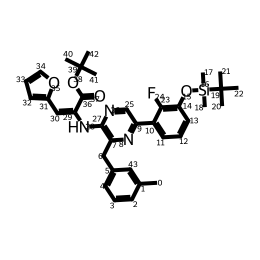 Cc1cccc(Cc2nc(-c3cccc(O[Si](C)(C)C(C)(C)C)c3F)cnc2NC(=Cc2ccco2)C(=O)OC(C)(C)C)c1